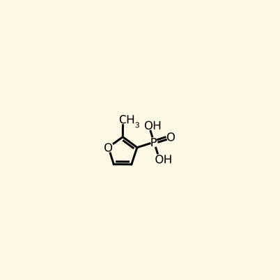 Cc1occc1P(=O)(O)O